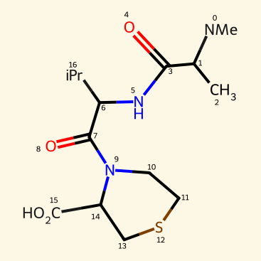 CNC(C)C(=O)NC(C(=O)N1CCSCC1C(=O)O)C(C)C